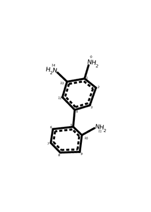 Nc1ccc(-c2ccccc2N)cc1N